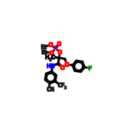 CCOP(=O)(OCC)OC(C)(COc1ccc(F)cc1)C(=O)Nc1ccc(C#N)c(C(F)(F)F)c1